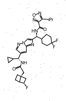 CC(C)c1nonc1C(=O)N[C@H](c1cn2ncc([C@H](NC(=O)C[C@]34CCC3[C@H](F)C4)C3CC3)cc2n1)C1CCC(F)(F)CC1